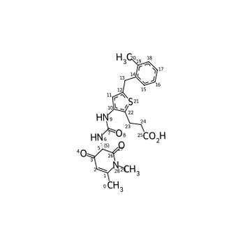 CC1=CC(=O)[C@H](NC(=O)Nc2cc(Cc3ccccc3C)sc2CCC(=O)O)C(=O)N1C